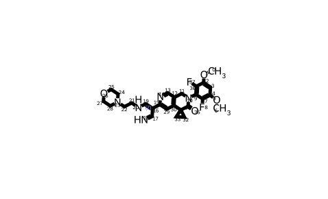 COc1cc(OC)c(F)c(N2Cc3cnc(/C(C=N)=C/NCCN4CCOCC4)cc3C3(CC3)C2=O)c1F